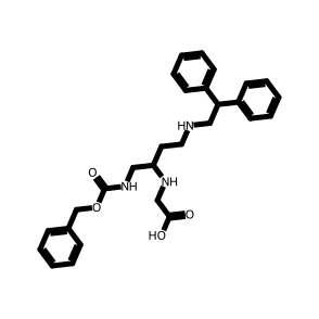 O=C(O)CNC(CCNCC(c1ccccc1)c1ccccc1)CNC(=O)OCc1ccccc1